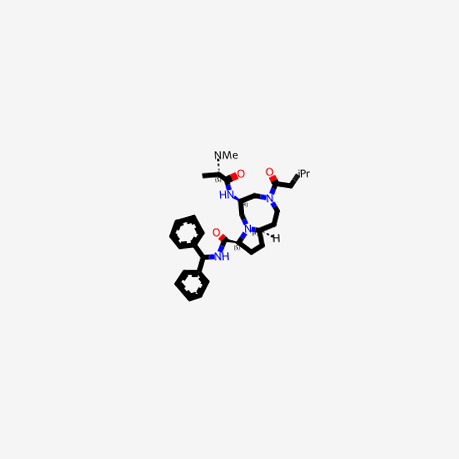 CN[C@@H](C)C(=O)N[C@H]1CN(C(=O)CC(C)C)CC[C@H]2CC[C@@H](C(=O)NC(c3ccccc3)c3ccccc3)N2C1